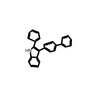 c1ccc(-c2ccc(-c3c(-c4ccccc4)[nH]c4ccccc34)cc2)cc1